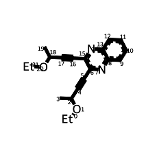 CCOC(C)C#Cc1nc2ccccc2nc1C#CC(C)OCC